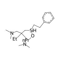 CCCO[SiH](CCc1ccccc1)CC(CC)(CN(C)C)CN(C)C